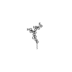 CCCCCCCOc1ccc(C(=O)Oc2ccc(CN(CC(=O)O)C(=O)c3ccc(NC(=O)Cc4ccccc4F)cc3)cc2)cc1